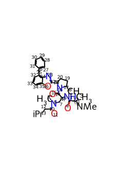 CN[C@@H](C)C(=O)N[C@@H](CN(C)C(=O)CC(C)C)C(=O)N1C(C)CC[C@H]1c1nc2c(-c3ccccc3)cccc2o1